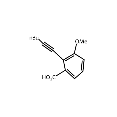 CCCCC#Cc1c(OC)cccc1C(=O)O